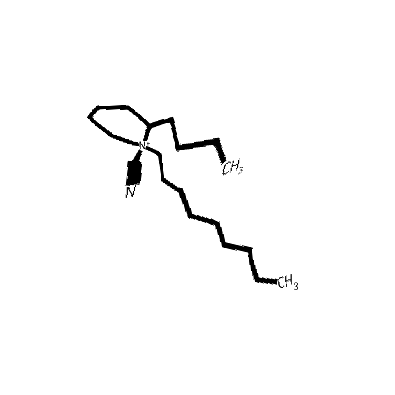 CCCCCCCCC[N+]1(C#N)CCCCC1CCCC